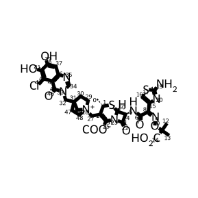 C[C@@H]1S[C@@H]2[C@H](NC(=O)/C(=N\OC(C)(C)C(=O)O)c3csc(N)n3)C(=O)N2C(C(=O)[O-])=C1C[N+]12CCC(Cn3cnc4cc(O)c(O)c(Cl)c4c3=O)(CC1)C2